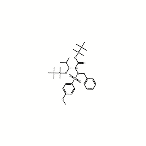 COc1ccc(S(=O)(=O)N(Cc2ccccc2)[C@@H](C(=O)O[Si](C)(C)C(C)(C)C)C(O[Si](C)(C)C(C)(C)C)C(C)C)cc1